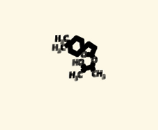 CC(O)C(C)OC1CCC2(CCC(C)(C)CC2)O1